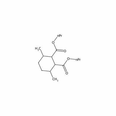 CCCOC(=O)C1C(C)CCC(C)C1C(=O)OCCC